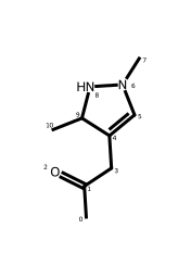 CC(=O)CC1=CN(C)NC1C